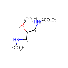 CCOC(=O)NCC(CNC(=O)OCC)OC(=O)OCC